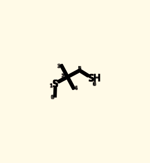 CSC(C)(C)CS